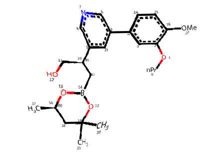 CCCOc1cc(-c2cncc([C@H](CO)CB3O[C@H](C)CC(C)(C)O3)c2)ccc1OC